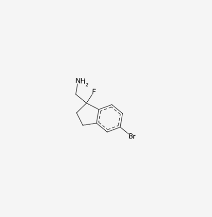 NCC1(F)CCc2cc(Br)ccc21